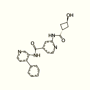 O=C(Nc1cnccc1-c1ccccc1)c1ccnc(NC(=O)[C@H]2C[C@H](O)C2)c1